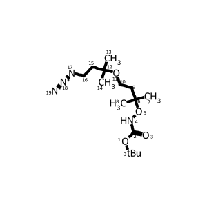 CC(C)(C)OC(=O)NOC(C)(C)CCOC(C)(C)CCN=[N+]=[N-]